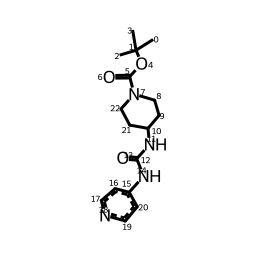 CC(C)(C)OC(=O)N1CCC(NC(=O)Nc2ccncc2)CC1